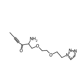 CC#CC(=O)C(N)COCCOCCn1ccnn1